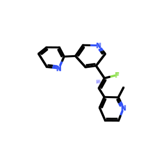 Cc1ncccc1/C=C(\F)c1cncc(-c2ccccn2)c1